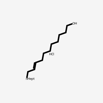 CCCCCCCCC=CCCCCCCCCO.Cl